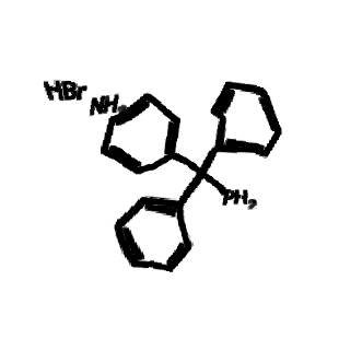 Br.N.PC(c1ccccc1)(c1ccccc1)c1ccccc1